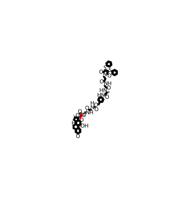 CCC(=O)O[C@]1(C(=O)COCNC(=O)CNC(=O)OCc2ccc(NC(=O)[C@H](C)NC(=O)CNC(=O)CCN3C(=O)C(Sc4ccccc4)=C(Sc4ccccc4)C3=O)cc2)[C@@H](C)CC2[C@@H]3CCC4=CC(=O)C=C[C@]4(C)[C@@]3(Cl)[C@@H](O)C[C@@]21C